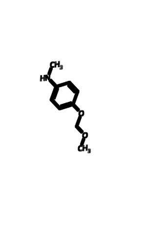 CNc1ccc(OCOC)cc1